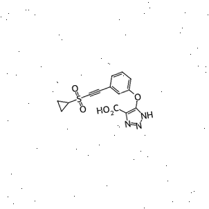 O=C(O)c1nn[nH]c1Oc1cccc(C#CS(=O)(=O)C2CC2)c1